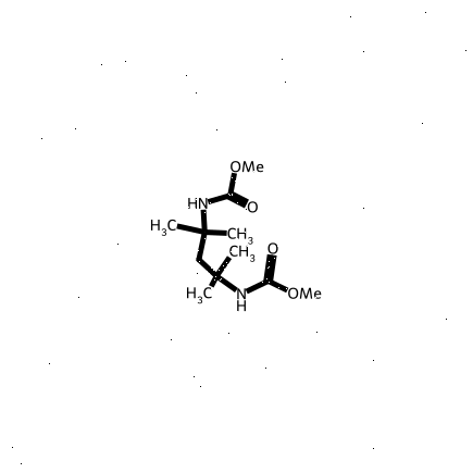 COC(=O)NC(C)(C)CC(C)(C)NC(=O)OC